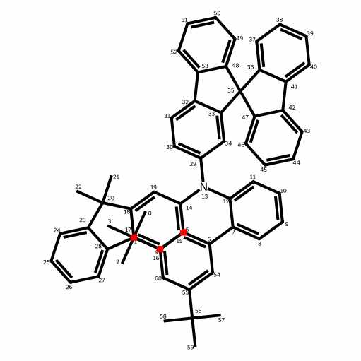 CC(C)(C)c1cc(-c2ccccc2N(c2ccc3c(c2)C(C)(C)c2ccccc2-3)c2ccc3c(c2)C2(c4ccccc4-c4ccccc42)c2ccccc2-3)cc(C(C)(C)C)c1